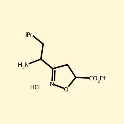 CCOC(=O)C1CC(C(N)CC(C)C)=NO1.Cl